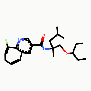 CCC(CC)OCC(C)(CC(C)C)NC(=O)c1cnc2c(c1)C=CCC=C2F